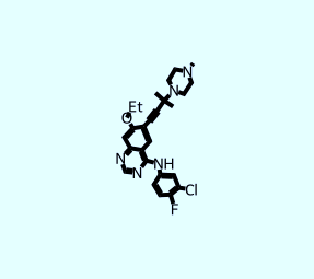 CCOc1cc2ncnc(Nc3ccc(F)c(Cl)c3)c2cc1C#CC(C)(C)N1CCN(C)CC1